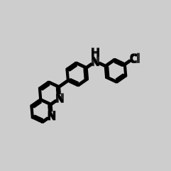 Clc1cccc(Nc2ccc(-c3ccc4cccnc4n3)cc2)c1